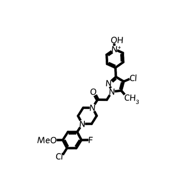 COc1cc(N2CCN(C(=O)Cn3nc(-c4cc[n+](O)cc4)c(Cl)c3C)CC2)c(F)cc1Cl